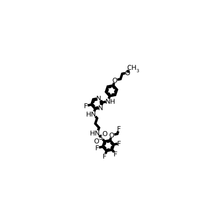 COCCOc1ccc(Nc2ncc(F)c(NCCCNS(=O)(=O)c3c(F)c(F)c(F)c(F)c3OCF)n2)cc1